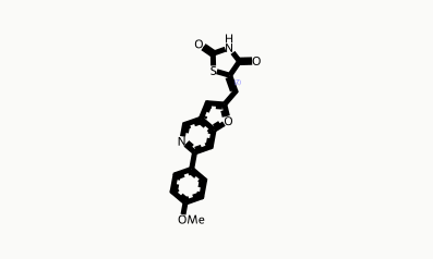 COc1ccc(-c2cc3oc(/C=C4\SC(=O)NC4=O)cc3cn2)cc1